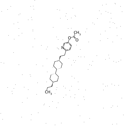 CCC[C@H]1CC[C@H]([C@H]2CC[C@H](CCc3ccc(OC(C)=O)cn3)CC2)CC1